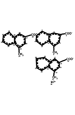 Cc1cc(C(=O)[O-])cc2ccccc12.Cc1cc(C(=O)[O-])cc2ccccc12.Cc1cc(C(=O)[O-])cc2ccccc12.[In+3]